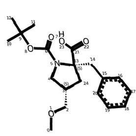 COC[C@@H]1CN(C(=O)OC(C)(C)C)[C@@](Cc2ccccc2)(C(=O)O)C1